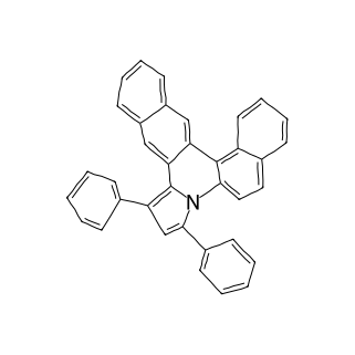 c1ccc(-c2cc(-c3ccccc3)n3c4ccc5ccccc5c4c4cc5ccccc5cc4c23)cc1